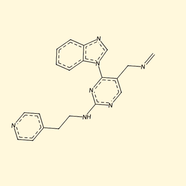 C=NCc1cnc(NCCc2ccncc2)nc1-n1cnc2ccccc21